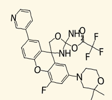 CC1(C)CN(c2cc(F)c3c(c2)C2(COC(N)(OC(=O)C(F)(F)F)N2)c2cc(-c4cccnc4)ccc2O3)CCO1